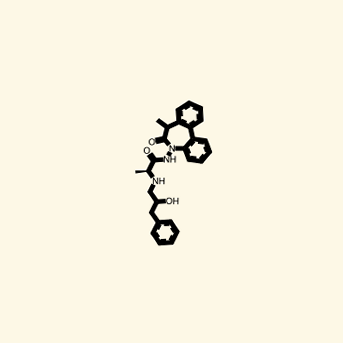 CC1C(=O)N(NC(=O)[C@H](C)NCC(O)Cc2ccccc2)c2ccccc2-c2ccccc21